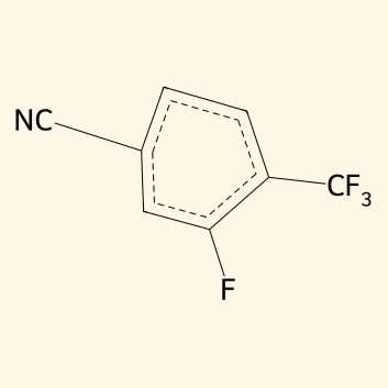 N#Cc1ccc(C(F)(F)F)c(F)c1